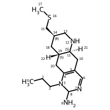 CCCN1C2=C(C=NC1N)C[C@@H]1NC[C@H](CSC)C[C@H]1C2